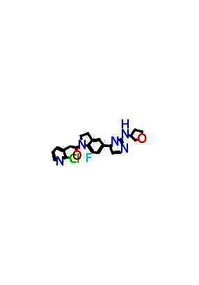 O=C(Cc1cccnc1Cl)N1CCc2cc(-c3ccnc(NC4CCOC4)n3)cc(F)c21